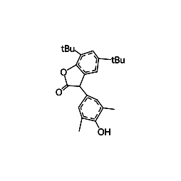 Cc1cc(C2C(=O)Oc3c2cc(C(C)(C)C)cc3C(C)(C)C)cc(C)c1O